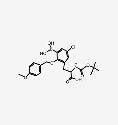 COc1ccc(COc2c(CC(NC(=O)OC(C)(C)C)C(=O)O)cc(Cl)cc2B(O)O)cc1